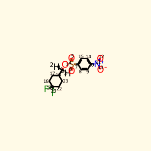 [2H]C([2H])(OS(=O)(=O)c1ccc([N+](=O)[O-])cc1)C1CCC(F)(F)CC1